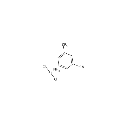 N.N#Cc1cccc(C(F)(F)F)c1.[Cl][Pt][Cl]